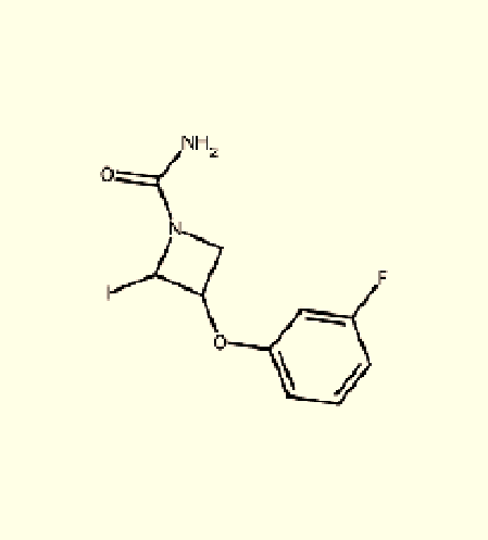 NC(=O)N1CC(Oc2cccc(F)c2)C1I